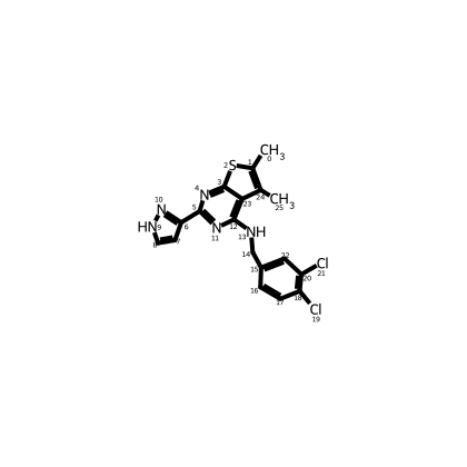 Cc1sc2nc(-c3cc[nH]n3)nc(NCc3ccc(Cl)c(Cl)c3)c2c1C